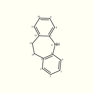 [c]1cccc2c1Nc1ccccc1CC2